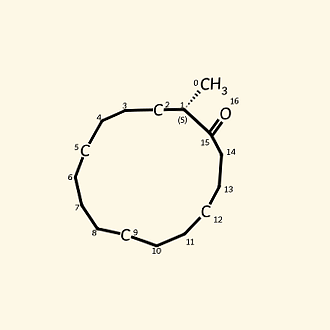 C[C@H]1CCCCCCCCCCCCCC1=O